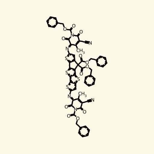 CC1=C(C#N)C(=O)N(C(=O)OCc2ccccc2)C(=O)/C1=N/c1cc2c(s1)-c1sc3c(sc4cc(/N=C5/C(=O)N(C(=O)OCc6ccccc6)C(=O)C(C#N)=C5C)sc43)c1C2(C(=O)OCc1ccccc1)C(=O)OCc1ccccc1